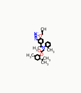 C#CCOc1ccc(C(=C)N(CC(=O)O[C@@H]2C[C@H](C)CC[C@H]2C(C)C)c2ccccc2C)cc1N=[N+]=[N-]